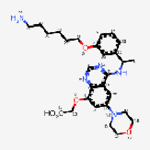 CC(Nc1ncnc2c(OCC(=O)O)cc(N3CCOCC3)cc12)c1cccc(OCCCCCCN)c1